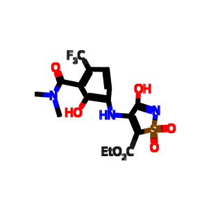 CCOC(=O)C1=C(Nc2ccc(C(F)(F)F)c(C(=O)N(C)C)c2O)C(O)=NS1(=O)=O